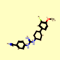 COc1ccc(C2CCC(NC(=N)Nc3ccc(C#N)cc3)CC2)cc1F